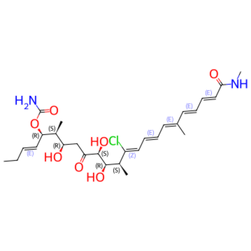 CC/C=C/[C@@H](OC(N)=O)[C@@H](C)[C@H](O)CC(=O)[C@@H](O)[C@H](O)[C@H](C)/C(Cl)=C/C=C/C=C(C)/C=C/C=C/C(=O)NC